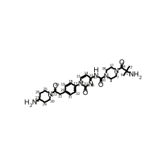 CC(C)(N)C(=O)N1CCN(C(=O)Nc2ccn(-c3ccc(CC(=O)N4CCC(N)CC4)cc3)c(=O)n2)CC1